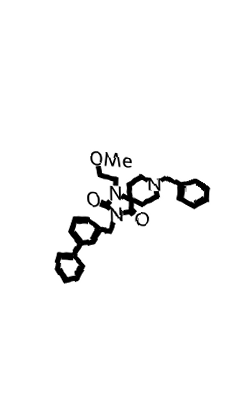 COCCN1C(=O)N(Cc2cccc(-c3ccccc3)c2)C(=O)C12CCN(Cc1ccccc1)CC2